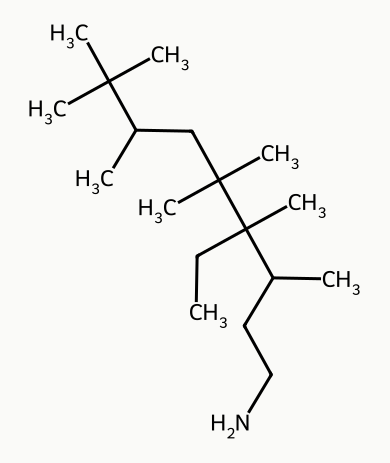 CCC(C)(C(C)CCN)C(C)(C)CC(C)C(C)(C)C